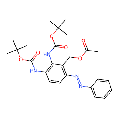 CC(=O)OCc1c(N=Nc2ccccc2)ccc(NC(=O)OC(C)(C)C)c1NC(=O)OC(C)(C)C